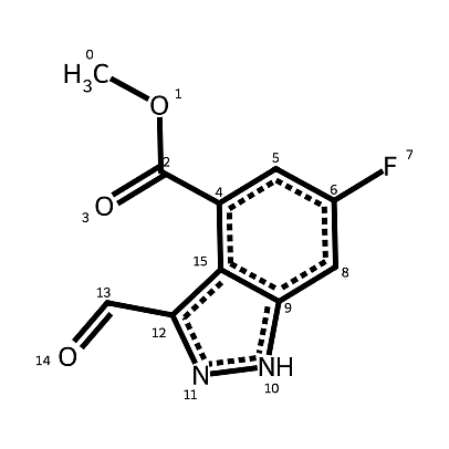 COC(=O)c1cc(F)cc2[nH]nc(C=O)c12